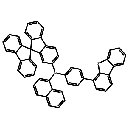 c1ccc2c(c1)-c1ccccc1C21c2ccccc2-c2ccc(N(c3ccc(-c4cccc5c4sc4ccccc45)cc3)c3cccc4ccccc34)cc21